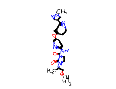 COCC(C)N1CCN(C(=O)Nc2ccc(Oc3ccnc(-c4cnn(C)c4)c3)cn2)C1=O